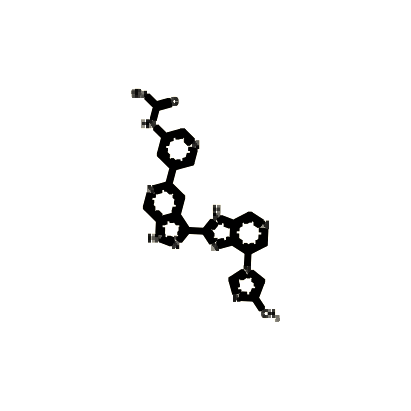 Cc1cn(-c2cncc3[nH]c(-c4n[nH]c5cnc(-c6cncc(NC(=O)C(C)(C)C)c6)cc45)nc23)cn1